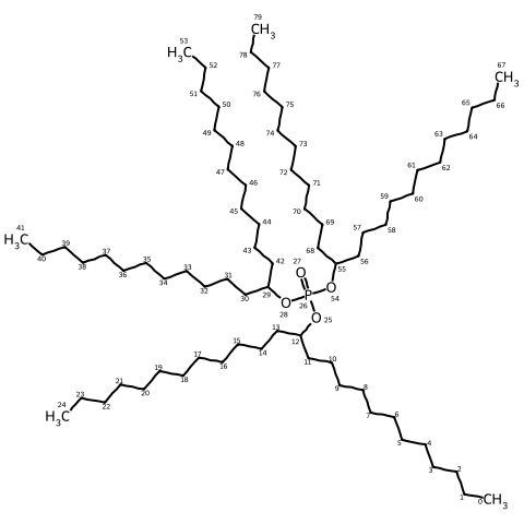 CCCCCCCCCCCCC(CCCCCCCCCCCC)OP(=O)(OC(CCCCCCCCCCCC)CCCCCCCCCCCC)OC(CCCCCCCCCCCC)CCCCCCCCCCCC